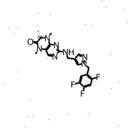 C[C@H]1C(=O)N(C)c2cnc(NCc3cnn(Cc4cc(F)c(F)cc4F)c3)nc2N1C